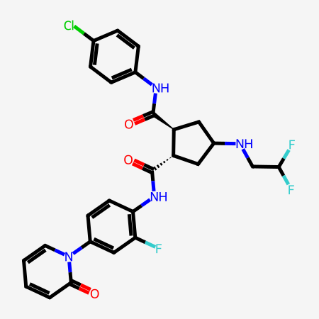 O=C(Nc1ccc(Cl)cc1)[C@H]1CC(NCC(F)F)C[C@@H]1C(=O)Nc1ccc(-n2ccccc2=O)cc1F